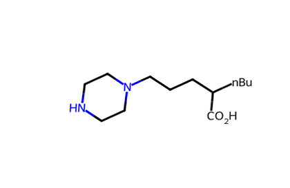 CCCCC(CCCN1CCNCC1)C(=O)O